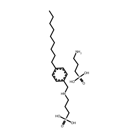 CCCCCCCCCc1ccc(CNCCCP(=O)(O)O)cc1.NCCCP(=O)(O)O